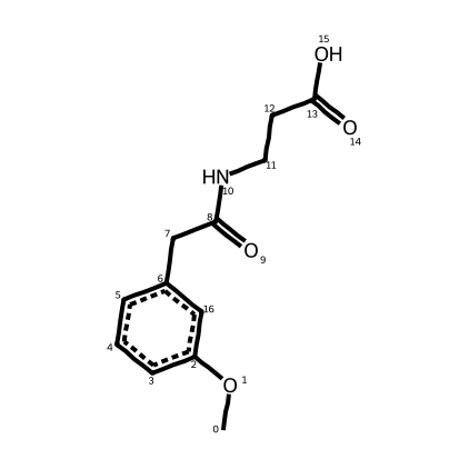 COc1cccc(CC(=O)NCCC(=O)O)c1